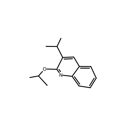 CC(C)Oc1nc2ccccc2cc1C(C)C